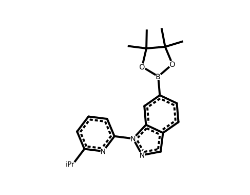 CC(C)c1cccc(-n2ncc3ccc(B4OC(C)(C)C(C)(C)O4)cc32)n1